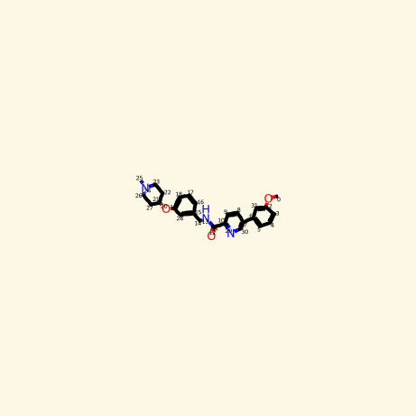 COc1cccc(-c2ccc(C(=O)NCc3cccc(OC4CCN(C)CC4)c3)nc2)c1